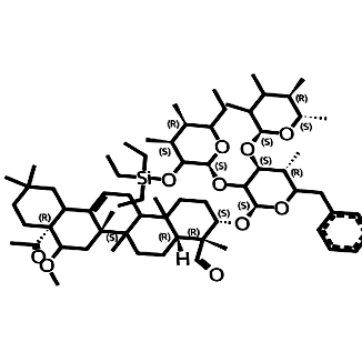 CCC1O[C@@H](OC2[C@H](O[C@H]3CCC4(C)C5CC=C6C7CC(C)(C)CC[C@]7(C(C)=O)C(OC)C[C@@]6(C)C5(C)CC[C@H]4[C@@]3(C)C=O)OC(Cc3ccccc3)[C@@H](C)[C@@H]2O[C@@H]2O[C@@H](C)[C@H](C)C(C)C2C)C(O[Si](CC)(CC)CC)[C@@H](C)[C@H]1C